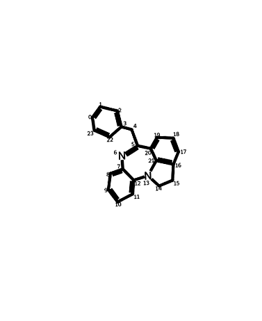 c1ccc(CC2=Nc3ccccc3N3CCc4cccc2c43)cc1